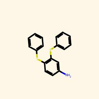 Nc1ccc(Sc2ccccc2)c(Sc2ccccc2)c1